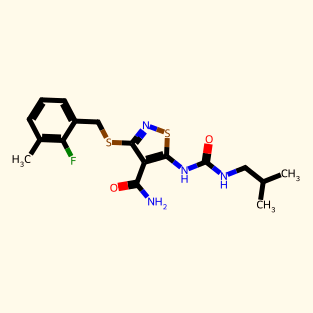 Cc1cccc(CSc2nsc(NC(=O)NCC(C)C)c2C(N)=O)c1F